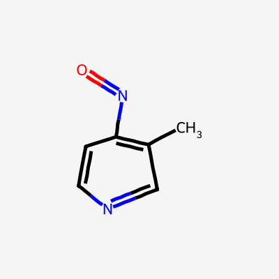 Cc1cnccc1N=O